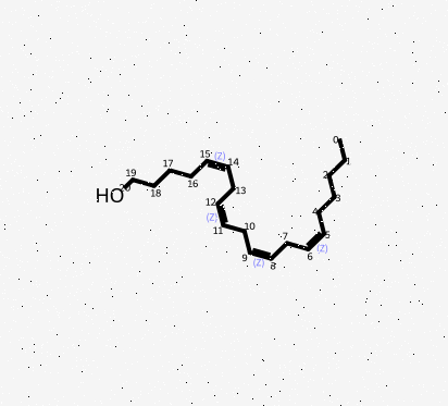 CCCCC/C=C\C/C=C\C/C=C\C/C=C\CCCCO